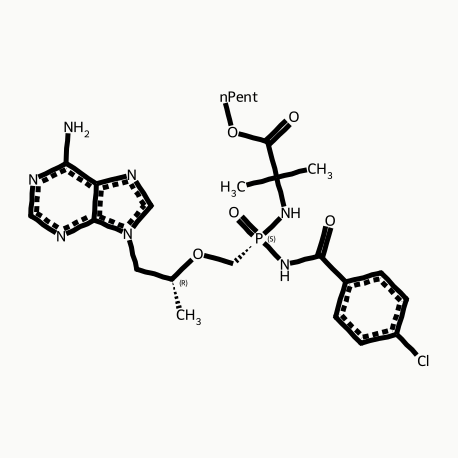 CCCCCOC(=O)C(C)(C)N[P@@](=O)(CO[C@H](C)Cn1cnc2c(N)ncnc21)NC(=O)c1ccc(Cl)cc1